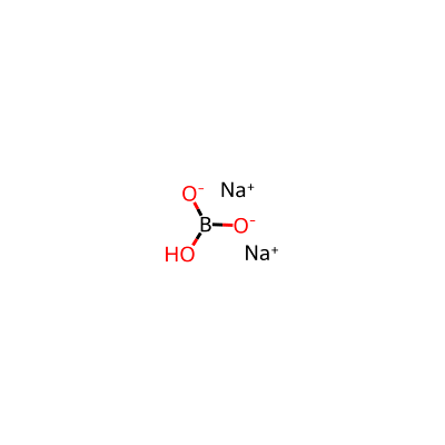 [Na+].[Na+].[O-]B([O-])O